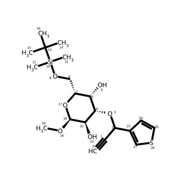 C#CC(O[C@H]1[C@@H](O)[C@@H](CO[Si](C)(C)C(C)(C)C)O[C@H](OC)[C@@H]1O)c1ccsc1